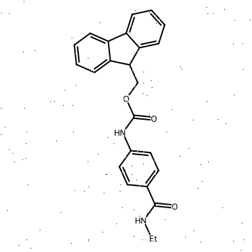 CCNC(=O)c1ccc(NC(=O)OCC2c3ccccc3-c3ccccc32)cc1